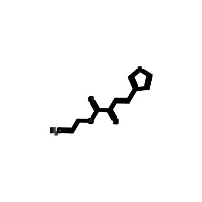 C=CCOC(=O)C(=O)/C=C/c1ccsc1